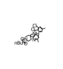 CCCCS(=O)(=O)N1CCC(CNC(=O)c2ccc(C)cc2Cl)(c2cccc(C)n2)CC1